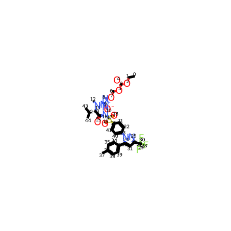 CCOC(=O)OCON=[N+]([O-])N(C)[C@H](C(=O)NS(=O)(=O)c1ccc(-n2nc(C(F)(F)F)cc2-c2ccc(C)cc2)cc1)C(C)C